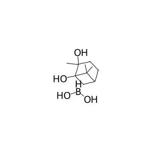 CC1(O)CCC2CC1(O)C2(C)C.OBO